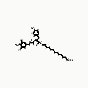 CCCCCCCCCCCCCCCCCCCCCCOC(=O)C(Cc1ccc(O)cc1)NC(=O)CCc1cc(I)c(O)c(I)c1